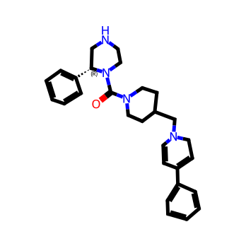 O=C(N1CCC(CN2C=CC(c3ccccc3)=CC2)CC1)N1CCNC[C@H]1c1ccccc1